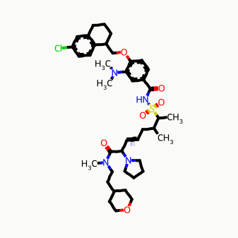 CC(C/C=C/C(C(=O)N(C)CCC1CCOCC1)N1CCCC1)C(C)S(=O)(=O)NC(=O)c1ccc(OCC2CCCc3cc(Cl)ccc32)c(N(C)C)c1